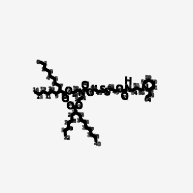 CCCCCCCCC(CCCCCC)C(=O)OCCN(CCOC(=O)C(CCCCCC)CCCCCCCC)C(=O)OCCSSCCOC(=O)NCCCN1CCCCC1CC